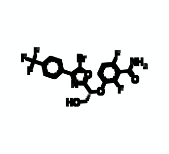 NC(=O)c1c(F)ccc(O[C@H](CO)c2nc(-c3ccc(C(F)(F)F)cc3)c(Br)o2)c1F